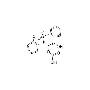 O=C(O)OC1=C(O)c2ccccc2S(=O)(=O)N1c1ccccc1Cl